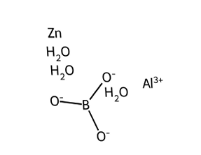 O.O.O.[Al+3].[O-]B([O-])[O-].[Zn]